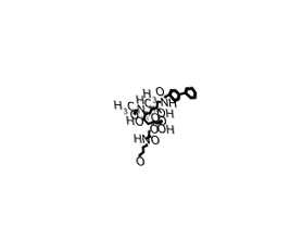 CC(=O)N[C@H]1C([C@H](C)[C@H](O)CNC(=O)c2ccc(-c3ccccc3)cc2)O[C@@](OCC(=O)NCCCC=O)(C(=O)O)C[C@@H]1O